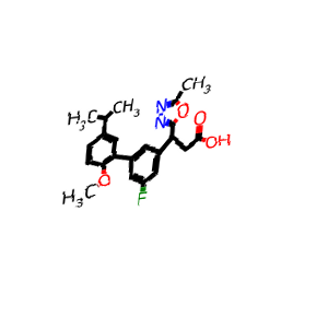 COc1ccc(C(C)C)cc1-c1cc(F)cc(C(CC(=O)O)c2nnc(C)o2)c1